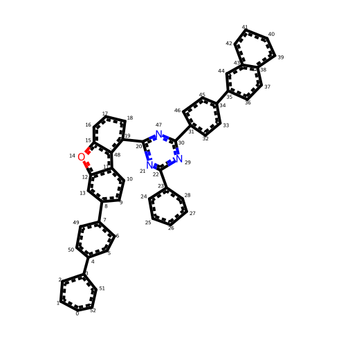 c1ccc(-c2ccc(-c3ccc4c(c3)oc3cccc(-c5nc(-c6ccccc6)nc(-c6ccc(-c7ccc8ccccc8c7)cc6)n5)c34)cc2)cc1